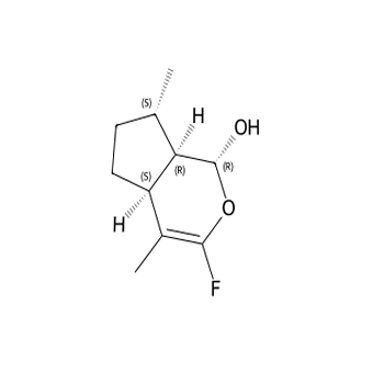 CC1=C(F)O[C@@H](O)[C@H]2[C@@H]1CC[C@@H]2C